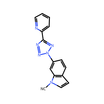 N#Cn1ccc2ccc(-n3nnc(-c4ccccn4)n3)cc21